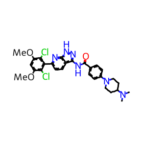 COc1cc(OC)c(Cl)c(-c2ccc3c(NC(=O)c4ccc(N5CCC(N(C)C)CC5)cc4)n[nH]c3n2)c1Cl